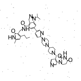 CCCc1cc(C)[nH]c(=O)c1CNC(=O)c1cc(-c2ccc(N3CCN(C4CCN(Cc5ccncc5N5CCC(=O)NC5=O)CC4)CC3)nc2)cc2c1cnn2C(C)C